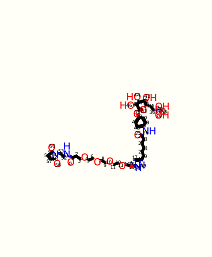 O=C(CCOCCOCCOCCOCCn1cc(CCCCCC(=O)Nc2ccc(O[C@H]3O[C@H](CCP(=O)(O)O)[C@@H](O)[C@H](O)[C@@H]3O)cc2)nn1)NCCN1C(=O)C=CC1=O